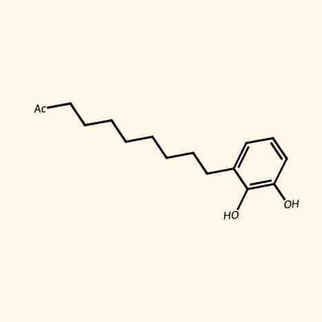 CC(=O)CCCCCCCCc1cccc(O)c1O